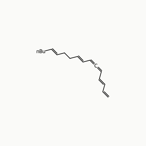 C=CC=CC=C=CC=CCCC=CCCCC